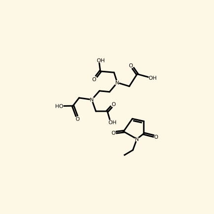 CCN1C(=O)C=CC1=O.O=C(O)CN(CCN(CC(=O)O)CC(=O)O)CC(=O)O